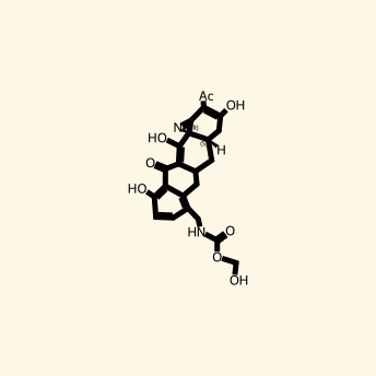 CC(=O)C1=C(O)C[C@@H]2CC3Cc4c(CNC(=O)OCO)ccc(O)c4C(=O)C3=C(O)[C@@]23N=C13